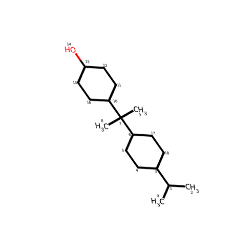 CC(C)C1CCC(C(C)(C)C2CCC(O)CC2)CC1